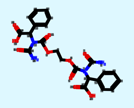 NC(=O)N(C(=O)OCCOC(=O)N(C(N)=O)C(C(=O)O)c1ccccc1)C(C(=O)O)c1ccccc1